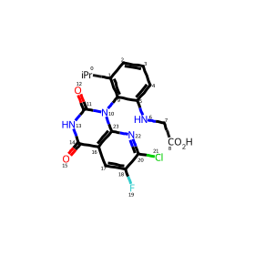 CC(C)c1cccc(NCC(=O)O)c1-n1c(=O)[nH]c(=O)c2cc(F)c(Cl)nc21